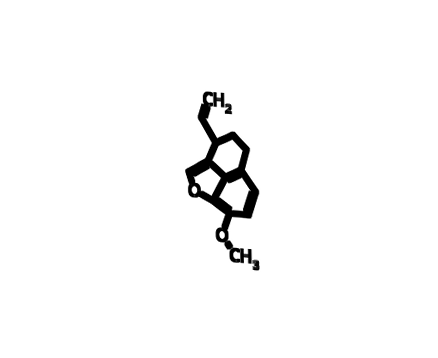 C=CC1CCc2ccc(OC)c3occ1c23